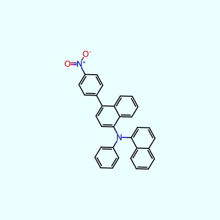 O=[N+]([O-])c1ccc(-c2ccc(N(c3ccccc3)c3cccc4ccccc34)c3ccccc23)cc1